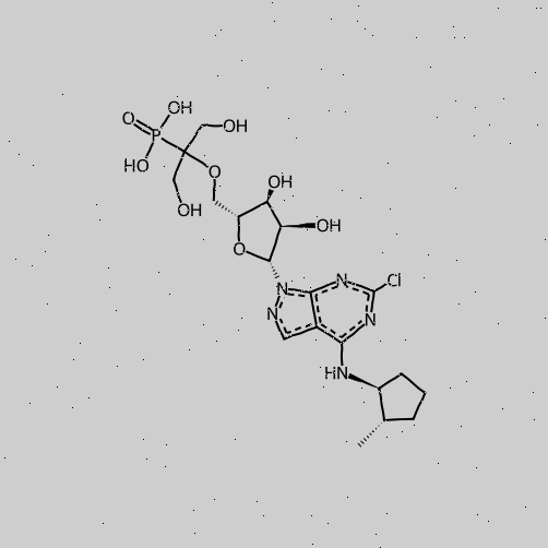 C[C@H]1CCC[C@@H]1Nc1nc(Cl)nc2c1cnn2[C@@H]1O[C@H](COC(CO)(CO)P(=O)(O)O)[C@@H](O)[C@H]1O